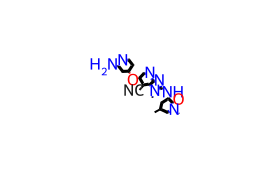 Cc1cc(Nc2nc3ncc(Oc4ccnc(N)c4)c(C#N)c3n2C)c(=O)n(C)c1